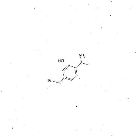 CC(C)Cc1ccc(C(C)N)cc1.Cl